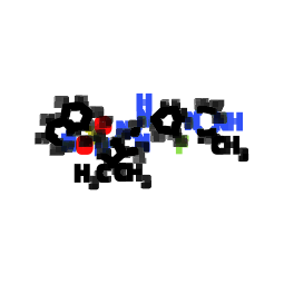 C[C@H]1CN(c2ccc(Nc3ncc4c(n3)N(S(=O)(=O)c3cccc5cccnc35)CC4(C)C)cc2F)CCN1